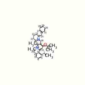 CCc1cccc(CC)c1-c1cc(OC(C)C)c(CN2CCCCC2Cc2ccccc2)c(C)n1